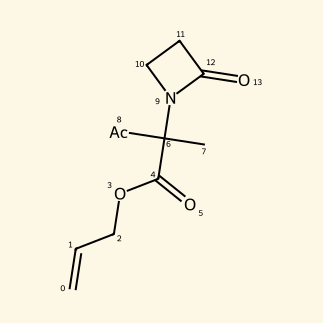 C=CCOC(=O)C(C)(C(C)=O)N1CCC1=O